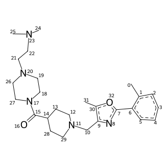 Cc1ccccc1-c1nc(CN2CCC(C(=O)N3CCN(CCN(C)C)CC3)CC2)c(C)o1